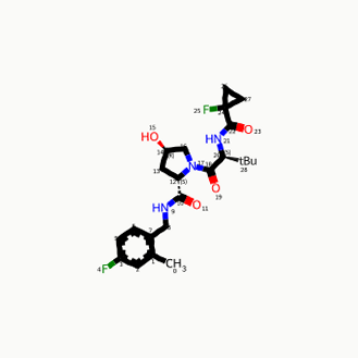 Cc1cc(F)ccc1CNC(=O)[C@@H]1C[C@@H](O)CN1C(=O)[C@@H](NC(=O)C1(F)CC1)C(C)(C)C